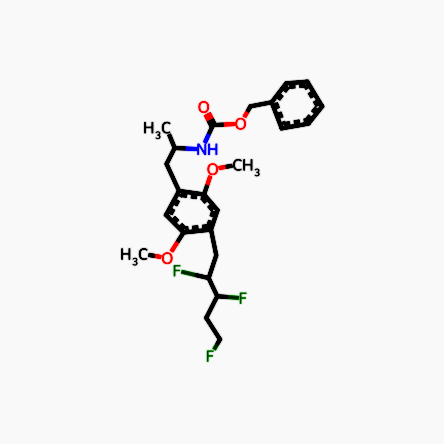 COc1cc(CC(F)C(F)CCF)c(OC)cc1CC(C)NC(=O)OCc1ccccc1